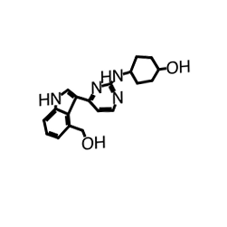 OCc1cccc2[nH]cc(-c3ccnc(NC4CCC(O)CC4)n3)c12